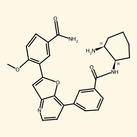 COc1ccc(C(N)=O)cc1-c1cc2nccc(-c3cccc(C(=O)N[C@@H]4CCCC[C@@H]4N)c3)c2o1